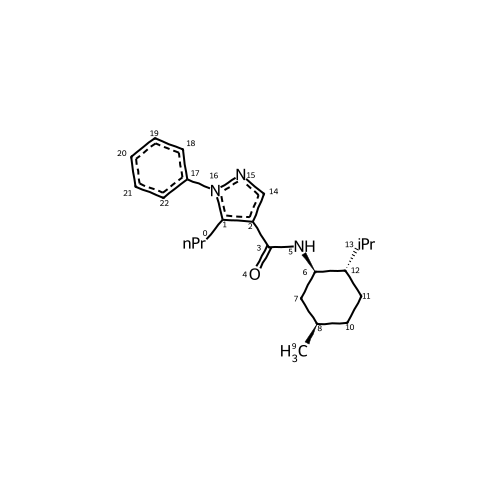 CCCc1c(C(=O)N[C@@H]2C[C@H](C)CC[C@H]2C(C)C)cnn1-c1ccccc1